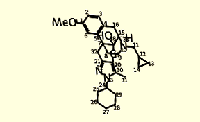 COc1ccc2c(c1)[C@]13CCN(CC4CC4)[C@H](C2)[C@]1(O)Cc1c(nn(C2CCCCC2)c1C)C3